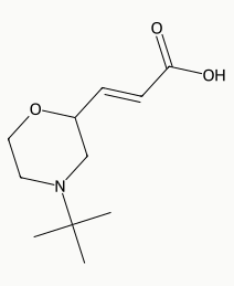 CC(C)(C)N1CCOC(/C=C/C(=O)O)C1